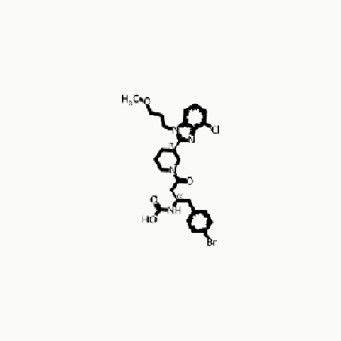 COCCCn1c([C@@H]2CCCN(C(=O)C[C@@H](Cc3ccc(Br)cc3)NC(=O)O)C2)nc2c(Cl)cccc21